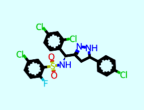 O=S(=O)(N[C@@H](C1=NNC(c2ccc(Cl)cc2)C1)c1ccc(Cl)cc1Cl)c1cc(Cl)ccc1F